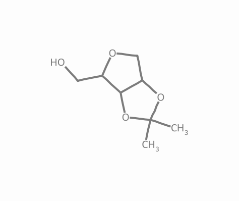 CC1(C)OC2COC(CO)C2O1